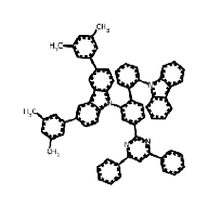 Cc1cc(C)cc(-c2ccc3c(c2)c2cc(-c4cc(C)cc(C)c4)ccc2n3-c2cc(-c3nc(-c4ccccc4)cc(-c4ccccc4)n3)ccc2-c2ccccc2-n2c3ccccc3c3ccccc32)c1